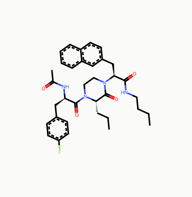 CCCCNC(=O)[C@H](Cc1ccc2ccccc2c1)N1CCN(C(=O)[C@@H](Cc2ccc(F)cc2)NC(C)=O)[C@@H](CCC)C1=O